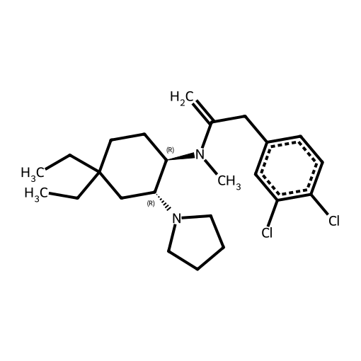 C=C(Cc1ccc(Cl)c(Cl)c1)N(C)[C@@H]1CCC(CC)(CC)C[C@H]1N1CCCC1